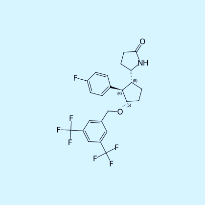 O=C1CCC([C@@H]2CC[C@H](OCc3cc(C(F)(F)F)cc(C(F)(F)F)c3)[C@H]2c2ccc(F)cc2)N1